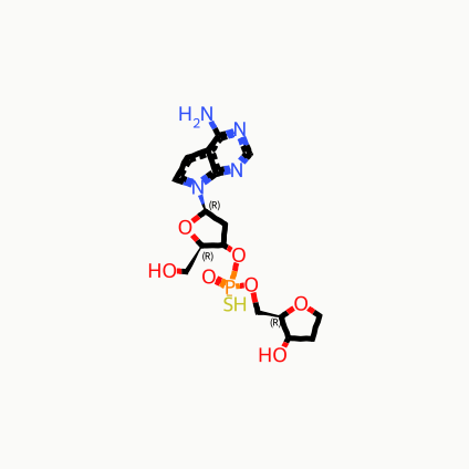 Nc1ncnc2c1ccn2[C@H]1CC(OP(=O)(S)OC[C@H]2OCCC2O)[C@@H](CO)O1